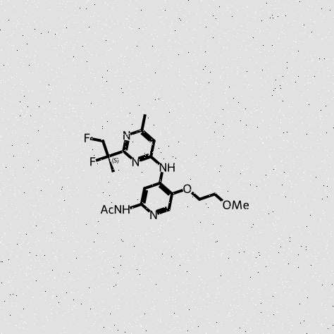 COCCOc1cnc(NC(C)=O)cc1Nc1cc(C)nc([C@](C)(F)CF)n1